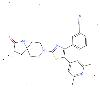 Cc1cc(-c2sc(N3CCC4(CCC(=O)N4)CC3)nc2-c2cccc(C#N)c2)cc(C)n1